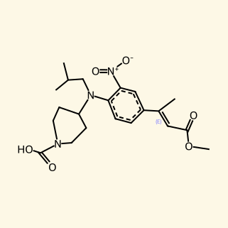 COC(=O)/C=C(\C)c1ccc(N(CC(C)C)C2CCN(C(=O)O)CC2)c([N+](=O)[O-])c1